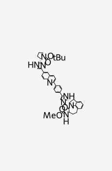 COC(=O)N[C@H]1CCc2cccc3c2N(C1=O)[C@H](c1ncc(-c2ccc(-c4ccc5cc(-c6c[nH]c([C@@H]7CCCN7C(=O)OC(C)(C)C)n6)ccc5n4)cc2)[nH]1)C3